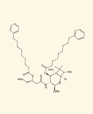 CCCCCCCCCCC[C@H](CC(=O)N[C@H]1[C@H](OC)O[C@@H]2C(O)C(C)(C)[C@]2(O)[C@@H]1OC(=O)CCCCCCCCc1ccccc1)OC(=O)CCCCCCCCc1ccccc1